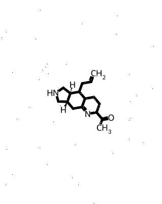 C=CCC1C2CCC(C(C)=O)N=C2C[C@@H]2CNC[C@@H]12